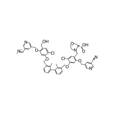 C/N=C/c1cncc(COc2cc(OCc3cccc(-c4cccc(COc5cc(OCc6cncc(C#N)c6)c(CN6CCOC[C@@H]6C(=O)O)cc5Cl)c4C)c3C)c(Cl)cc2CO)c1